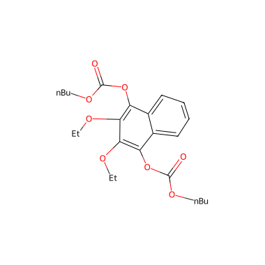 CCCCOC(=O)Oc1c(OCC)c(OCC)c(OC(=O)OCCCC)c2ccccc12